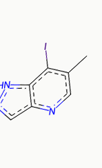 Cc1cnc2cn[nH]c2c1I